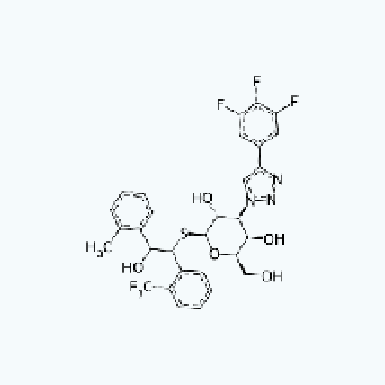 Cc1ccccc1C(O)C(S[C@@H]1O[C@H](CO)[C@H](O)[C@H](n2cc(-c3cc(F)c(F)c(F)c3)nn2)[C@H]1O)c1ccccc1C(F)(F)F